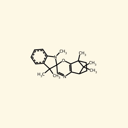 CN1c2ccccc2C(C)(C)C12C=NC1=C(O2)C2(C)CCC1C2(C)C